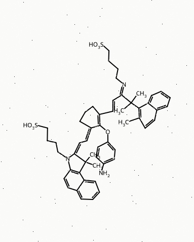 Cc1ccc2ccccc2c1C(C)(C)C(/C=C/C1=C(Oc2ccc(N)cc2)C(=C/C=C2/N(CCCCS(=O)(=O)O)c3ccc4ccccc4c3C2(C)C)/CCC1)=N/CCCCS(=O)(=O)O